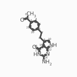 CC(=O)c1ccc(CCc2c[nH]c3nc(N)[nH]c(=O)c23)cc1